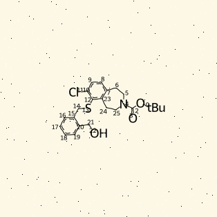 CC(C)(C)OC(=O)N1CCc2ccc(Cl)c(SCc3ccccc3CO)c2CC1